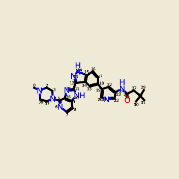 CN1CCN(c2nccc3[nH]c(-c4n[nH]c5ccc(-c6cncc(NC(=O)CC(C)(C)C)c6)cc45)nc23)CC1